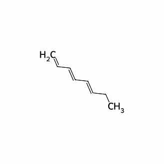 C=C/C=C/C=C/CC